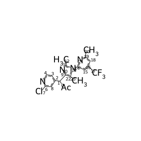 CC(=O)C(c1ccnc(Cl)c1)c1nc(C)n(-c2cc(C(F)(F)F)cc(C)n2)c1C